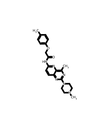 Cc1ccc(OCC(=O)Nc2ccc3nc(N4CCN(C)CC4)nc(C)c3n2)cc1